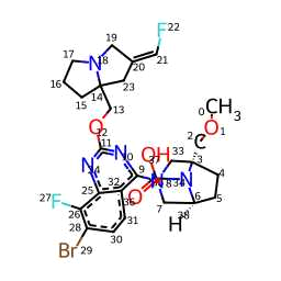 COC[C@@]12CC[C@@H](CN(c3nc(OCC45CCCN4C/C(=C\F)C5)nc4c(F)c(Br)ccc34)C1)N2C(=O)O